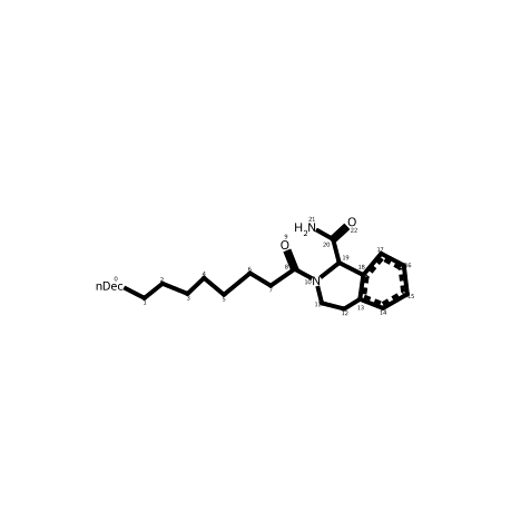 CCCCCCCCCCCCCCCCCC(=O)N1CCc2c[c]ccc2C1C(N)=O